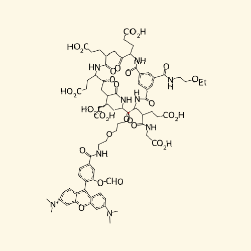 CCOCCNC(=O)c1cc(C(=O)NCCOCCOCCNC(=O)c2ccc(-c3c4ccc(=[N+](C)C)cc-4oc4cc(N(C)C)ccc34)c(OC=O)c2)cc(C(=O)NC(CCC(=O)O)C(=O)CC(CCC(=O)O)C(=O)NC(CCC(=O)O)C(=O)CC(CCC(=O)O)C(=O)NC(CCC(=O)O)C(=O)CC(CCC(=O)O)C(=O)NCC(=O)O)c1